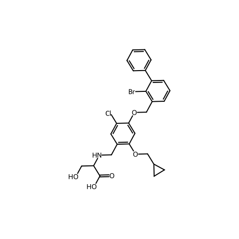 O=C(O)C(CO)NCc1cc(Cl)c(OCc2cccc(-c3ccccc3)c2Br)cc1OCC1CC1